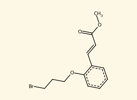 COC(=O)/C=C/c1ccccc1OCCCBr